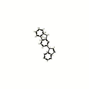 [c]1c(C2C=Cc3ccccc32)ccc2c1Cc1ccccc1-2